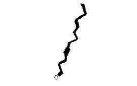 CCCCCCC/C=C/C=C/C=O